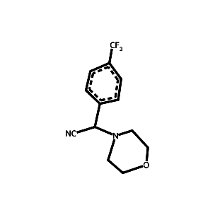 N#CC(c1ccc(C(F)(F)F)cc1)N1CCOCC1